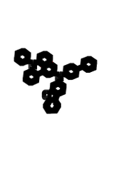 c1ccc(-c2ccc(N(c3cccc(-c4ccccc4N(c4ccccc4)c4ccccc4)c3)c3ccc4c(c3)oc3ccccc34)cc2)cc1